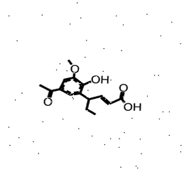 CCC(C=CC(=O)O)c1cc(C(C)=O)cc(OC)c1O